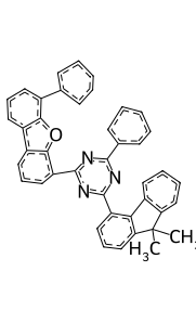 CC1(C)c2ccccc2-c2c(-c3nc(-c4ccccc4)nc(-c4cccc5c4oc4c(-c6ccccc6)cccc45)n3)cccc21